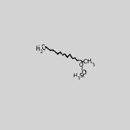 C=CCCCCCCCCCCCCC(C)OCCO[SiH3]